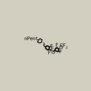 CCCCC[C@H]1CC[C@H](CCc2ccc(C(F)(F)Oc3cc(F)c(OC(F)(F)F)c(F)c3)c(F)c2)CC1